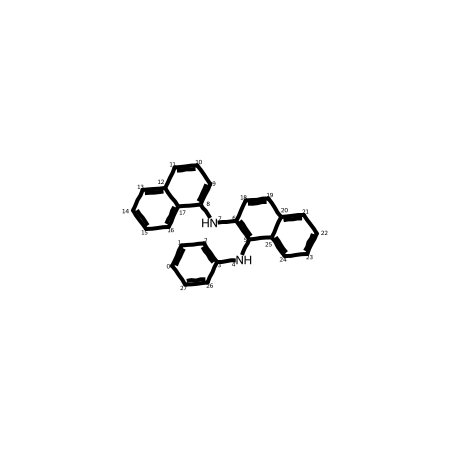 c1ccc(Nc2c(Nc3cccc4ccccc34)ccc3ccccc23)cc1